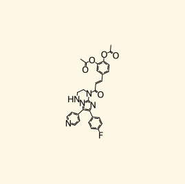 CC(=O)Oc1ccc(/C=C/C(=O)N2CCNn3c2nc(-c2ccc(F)cc2)c3-c2ccncc2)cc1OC(C)=O